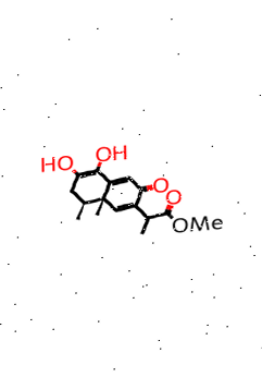 COC(=O)C(C)C1=C[C@@]2(C)C(=CC1=O)C(O)=C(O)C[C@@H]2C